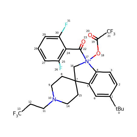 CC(C)(C)c1ccc2c(c1)C1(CCN(CCC(F)(F)F)CC1)C[N+]2(OC(=O)C(F)(F)F)C(=O)c1c(F)cccc1F